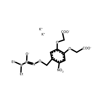 CCN(CC)[N+]([O-])=NOCc1cc(OCC(=O)[O-])c(OCC(=O)[O-])cc1[N+](=O)[O-].[K+].[K+]